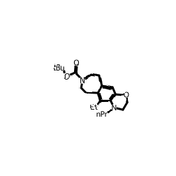 CCCN1CCOc2cc3c(c(CC)c21)CCN(C(=O)OC(C)(C)C)CC3